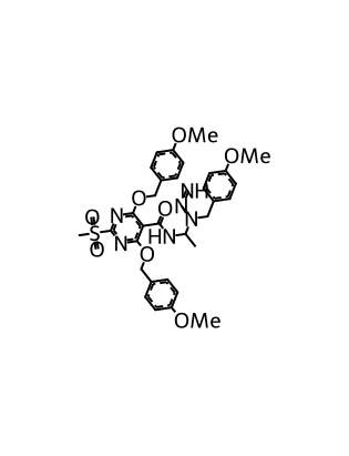 COc1ccc(COc2nc(S(C)(=O)=O)nc(OCc3ccc(OC)cc3)c2C(=O)NC(C)N(Cc2ccc(OC)cc2)N=N)cc1